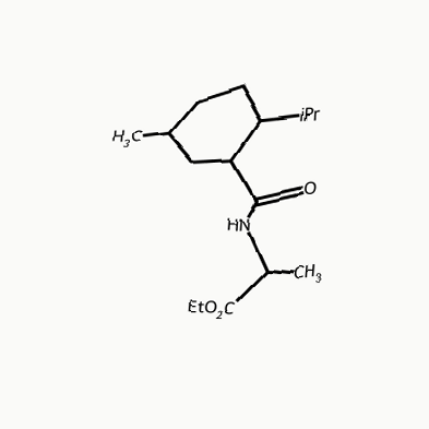 CCOC(=O)C(C)NC(=O)C1CC(C)CCC1C(C)C